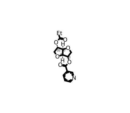 CCC(=O)O[C@H]1CO[C@H]2[C@@H]1OC[C@H]2OC(=O)c1cccnc1